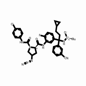 CC(C)(C)[S@@+]([O-])NC(CCC1CC1)(c1cccc(C#N)c1)c1ccc(F)c(NC(=O)[C@H]2CC(N=[N+]=[N-])CN2C(=O)Nc2ccc(Cl)cc2)c1